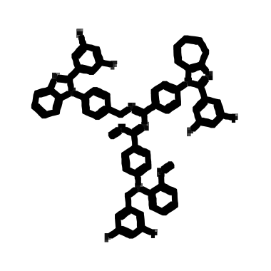 C=N/C(=N\C(=N/Cc1ccc(-n2c(-c3cc(F)cc(F)c3)nc3ccccc32)cc1)c1ccc(-n2c(-c3cc(F)cc(F)c3)nc3c2C=CC=CC3)cc1)c1ccc(N(Cc2cc(F)cc(F)c2)c2ccccc2N=C)cc1